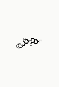 O=C1c2ccc(Cl)cc2CCN1c1cncc(CN2CCOCC2)c1